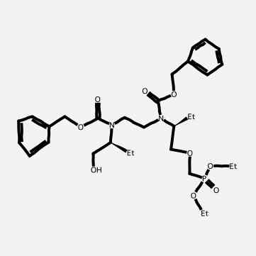 CCOP(=O)(COC[C@H](CC)N(CCN(C(=O)OCc1ccccc1)[C@@H](CC)CO)C(=O)OCc1ccccc1)OCC